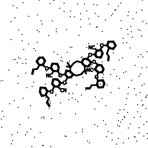 C=CCc1ccccc1Oc1cccc(Oc2cc3c(cc2Oc2cccc(Oc4ccccc4CC=C)c2C#N)C(C)(C)CCc2cc(Oc4cccc(Oc5ccccc5CC=C)c4C#N)c(Oc4cccc(Oc5ccccc5CC=C)c4C#N)cc2C(C)(C)CC3)c1C#N